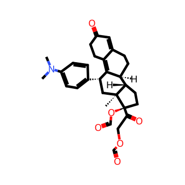 CN(C)c1ccc([C@H]2C[C@@]3(C)[C@@H](CC[C@]3(OC=O)C(=O)COC=O)[C@@H]3CCC4=CC(=O)CCC4=C32)cc1